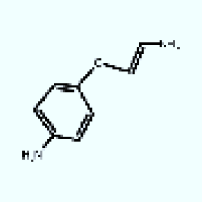 NC=COc1ccc(N)cc1